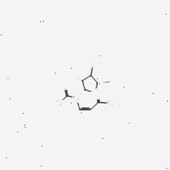 C=C(N)/C=C\N(C(N)=O)[C@@H]1O[C@H](C)C(O)[C@@H]1O